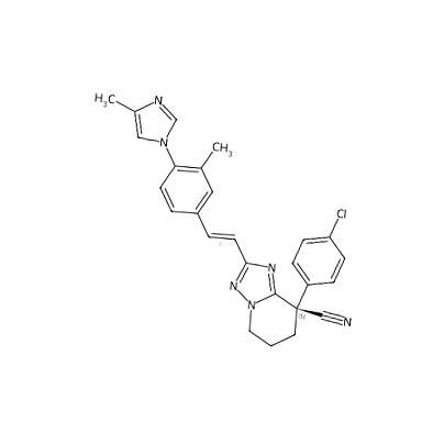 Cc1cn(-c2ccc(/C=C/c3nc4n(n3)CCC[C@@]4(C#N)c3ccc(Cl)cc3)cc2C)cn1